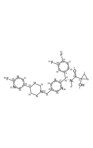 CN(C(=O)C1(O)CC1)[C@@H](c1ccc(F)c(F)c1)c1ccc(CN2CCC(c3ccc(F)nc3)CC2)cn1